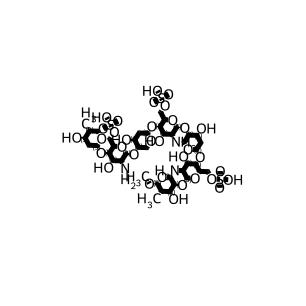 CO[C@@H]1OC[C@@H](O[C@H]2OC(COS(=O)(=O)O)[C@H](O[C@H]3C[C@H](O)[C@H](O[C@H]4OC(COS(=O)(=O)O)[C@@H](O[C@H]5C[C@H](O)[C@H](O[C@@H]6OC(COS(=O)(=O)O)[C@H](O[C@H]7C[C@H](O)[C@H](C)CO7)[C@H](O)C6N)CO5)[C@H](O)C4N)CO3)[C@H](O)C2N)[C@@H](O)C1C